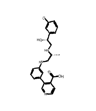 C[C@H](CNc1cccc(-c2cnccc2C(=O)O)c1)NC[C@H](O)c1cccc(Cl)c1